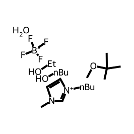 CCCCO.CCCC[n+]1ccn(C)c1.CCO.COC(C)(C)C.F[B-](F)(F)F.O